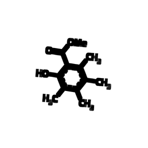 COC(=O)c1c(C)c(C)c(C)c(C)c1O